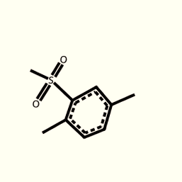 Cc1ccc(C)c(S(C)(=O)=O)c1